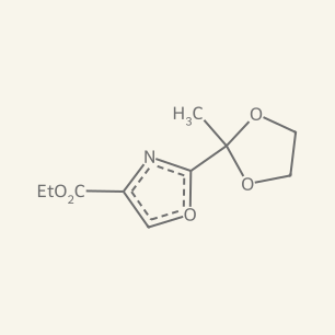 CCOC(=O)c1coc(C2(C)OCCO2)n1